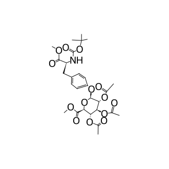 COC(=O)[C@H](Cc1ccc(O[C@@H]2O[C@H](C(=O)OC)[C@@H](OC(C)=O)[C@H](OC(C)=O)[C@H]2OC(C)=O)cc1)NC(=O)OC(C)(C)C